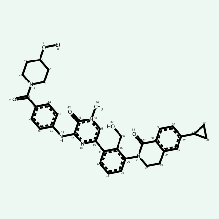 CCOC1CCN(C(=O)c2ccc(Nc3nc(-c4cccc(N5CCc6cc(C7CC7)ccc6C5=O)c4CO)cn(C)c3=O)cc2)CC1